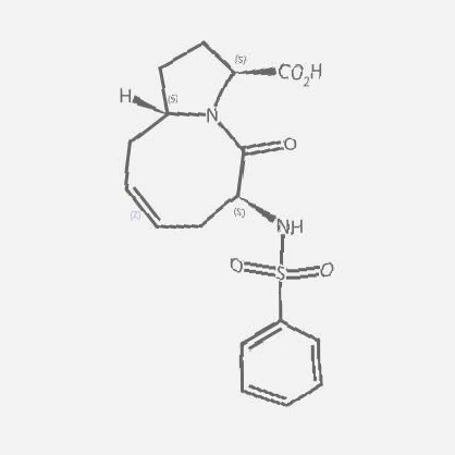 O=C(O)[C@@H]1CC[C@H]2C/C=C\C[C@H](NS(=O)(=O)c3ccccc3)C(=O)N21